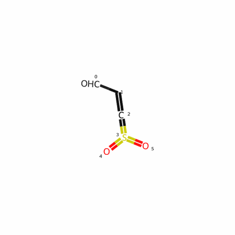 O=CC=C=S(=O)=O